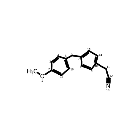 COc1ccc(Cc2ccc(CC#N)cc2)cc1